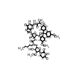 CCCCCN(C[C@H]1O[C@@H](n2ccc(=O)[nH]c2=O)[C@H](OC)[C@@H]1O)C(=O)C[C@H]1[C@@H](F)[C@@H](n2cnc3c(=O)[nH]c(NC(=O)C(C)C)nc32)O[C@H]1COC(c1ccccc1)(c1ccc(OC)cc1)c1ccc(OC)cc1